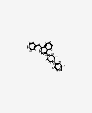 C1=CCC2C(=C1)C(Cc1ccncc1)=NN=C2N1CCN(c2ccncc2)CC1